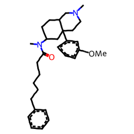 COc1cccc(C23CCN(C)CC2CCC(N(C)C(=O)CCCCCc2ccccc2)C3)c1